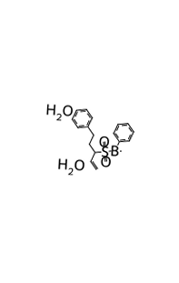 C=CC(CCc1ccccc1)S(=O)(=O)[B]c1ccccc1.O.O